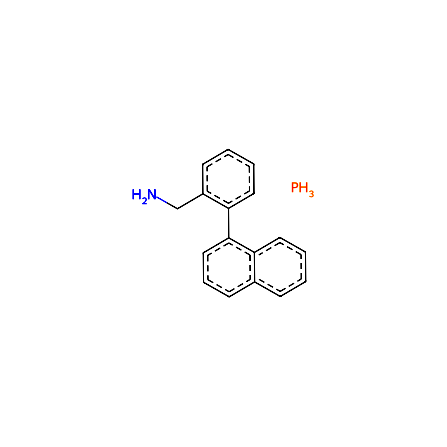 NCc1ccccc1-c1cccc2ccccc12.P